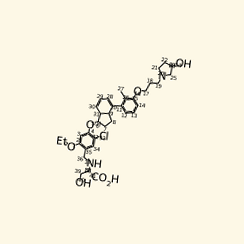 CCOc1cc(O[C@H]2CCC3C(c4cccc(OCCCN5CC[C@@H](O)C5)c4C)=CC=CC32)c(Cl)cc1CN[C@@H](CO)C(=O)O